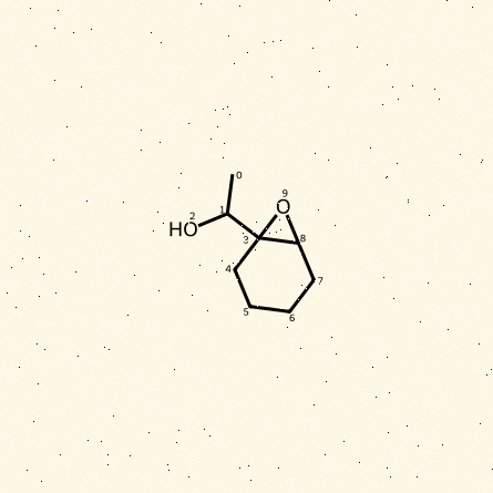 CC(O)C12CCCCC1O2